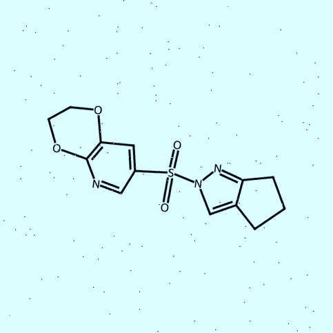 O=S(=O)(c1cnc2c(c1)OCCO2)n1cc2c(n1)CCC2